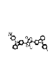 Cc1ccc(-n2c3ccccc3c3cc(C4=C5C(=O)OC(c6ccc7c(c6)c6ccccc6n7-c6ccc([Si](C)(C)C)cc6)=C5C(=O)O4)ccc32)cc1